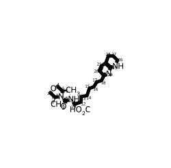 C[C@@H]1COC[C@@H](C)N1C(=O)N[C@@H](CCCCCCCc1ccc2c(n1)NCCC2)C(=O)O